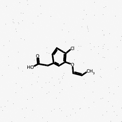 C/C=C\Oc1cc(CC(=O)O)ccc1Cl